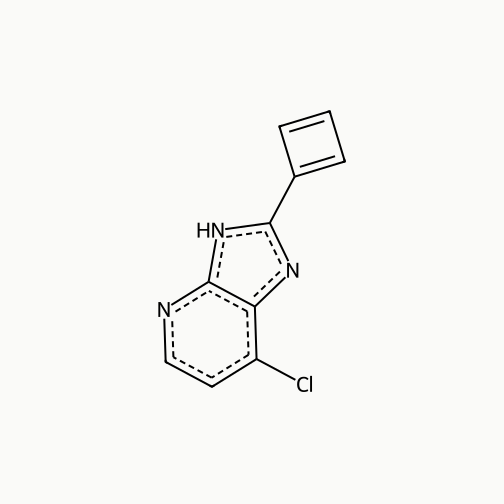 Clc1ccnc2[nH]c(C3=CC=C3)nc12